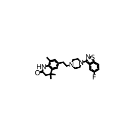 Cc1cc(CCN2CCN(c3nsc4ccc(F)cc34)CC2)cc2c1NC(=O)CC2(C)C